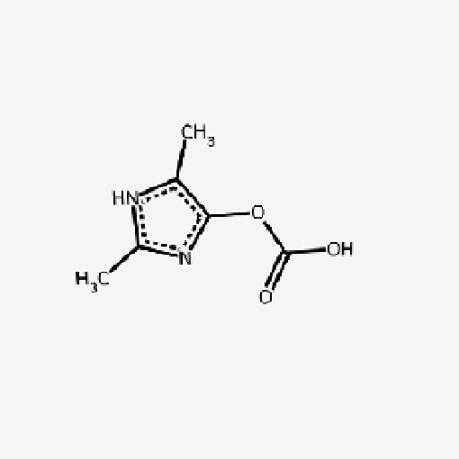 Cc1nc(OC(=O)O)c(C)[nH]1